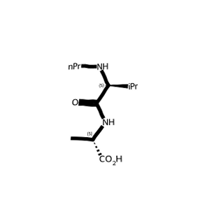 CCCN[C@H](C(=O)N[C@@H](C)C(=O)O)C(C)C